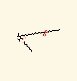 CCCCCCCCOC(=O)CCCCCCCCCCCCCC(C(C)C)C(C(=O)OCCCCCCCC)C(C)C